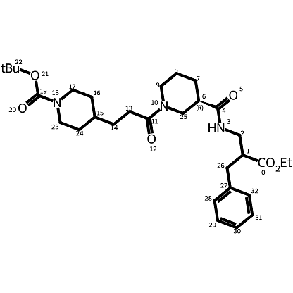 CCOC(=O)C(CNC(=O)[C@@H]1CCCN(C(=O)CCC2CCN(C(=O)OC(C)(C)C)CC2)C1)Cc1ccccc1